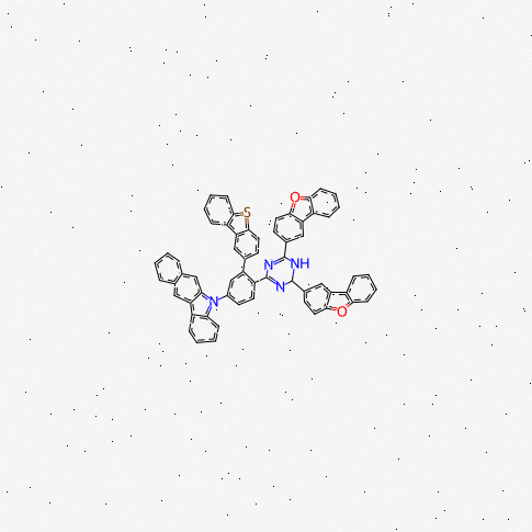 c1ccc2cc3c(cc2c1)c1ccccc1n3-c1ccc(C2=NC(c3ccc4oc5ccccc5c4c3)NC(c3ccc4oc5ccccc5c4c3)=N2)c(-c2ccc3sc4ccccc4c3c2)c1